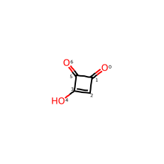 O=c1cc(O)c1=O